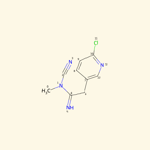 CN(C#N)C(=N)Cc1ccc(Cl)nc1